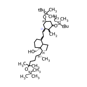 C=C1/C(=C\C=C2CCC[C@@]3(CO)C2CC[C@@H]3[C@H](C)CCCC(C)(C)O[Si](C)(C)C)C[C@@H](O[Si](C)(C)C(C)(C)C)C[C@H]1O[Si](C)(C)C(C)(C)C